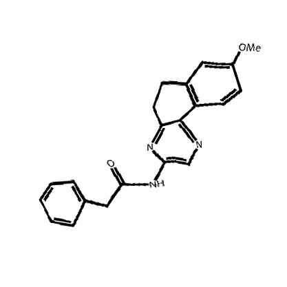 COc1ccc2c(c1)CCc1nc(NC(=O)Cc3ccccc3)cnc1-2